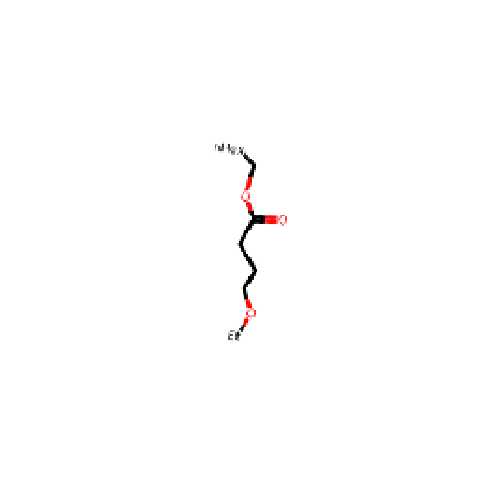 CCCCCCCOC(=O)CCCOCC